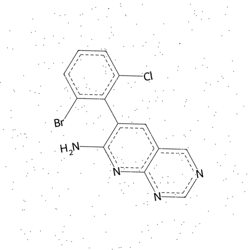 Nc1nc2ncncc2cc1-c1c(Cl)cccc1Br